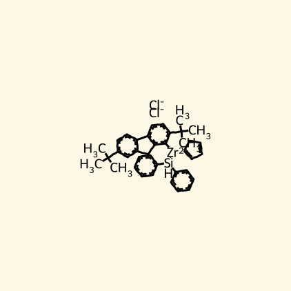 CC(C)(C)c1ccc2c(c1)Cc1c-2ccc(C(C)(C)C)[c]1[Zr+2]([C]1=CC=CC1)[SiH](c1ccccc1)c1ccccc1.[Cl-].[Cl-]